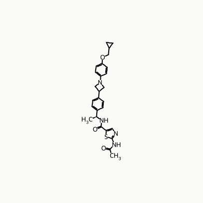 CC(=O)Nc1ncc(C(=O)N[C@@H](C)c2ccc(C3CN(c4ccc(OCC5CC5)cc4)C3)cc2)s1